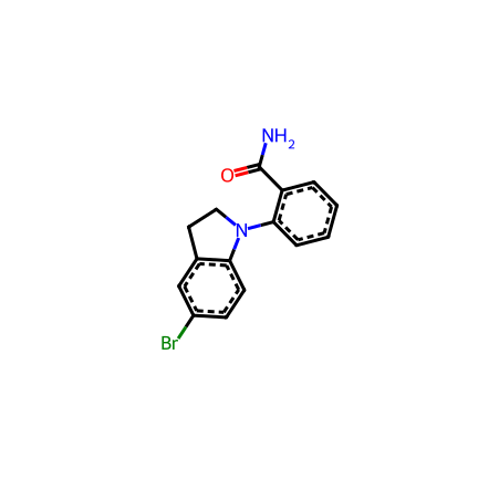 NC(=O)c1ccccc1N1CCc2cc(Br)ccc21